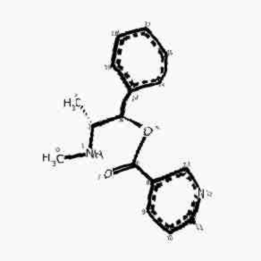 CN[C@H](C)[C@H](OC(=O)c1cccnc1)c1ccccc1